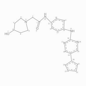 O=C(CN1CCC(O)CC1)Nc1ccc(Nc2ncc(-c3ccsc3)cn2)cc1